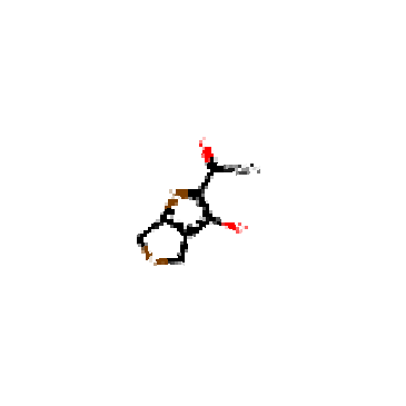 COC(=O)c1sc2c(c1O)CSC2